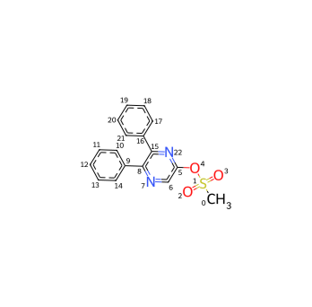 CS(=O)(=O)Oc1cnc(-c2ccccc2)c(-c2ccccc2)n1